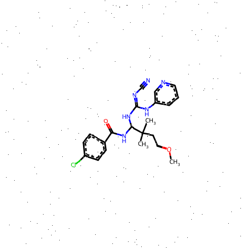 COCCC(C)(C)C(NC(=O)c1ccc(Cl)cc1)N/C(=N/C#N)Nc1cccnc1